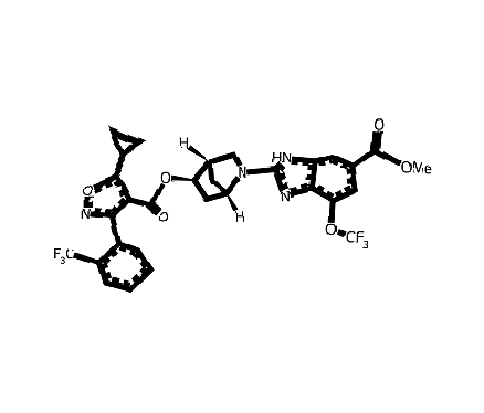 COC(=O)c1cc(OC(F)(F)F)c2nc(N3C[C@@H]4C[C@H]3C[C@H]4OC(=O)c3c(-c4ccccc4C(F)(F)F)noc3C3CC3)[nH]c2c1